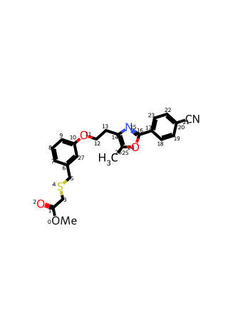 COC(=O)CSCc1cccc(OCCc2nc(-c3ccc(C#N)cc3)oc2C)c1